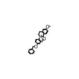 COc1ccc2c(c1)CCN(c1ccc(OCc3ccccc3)cc1F)C2=O